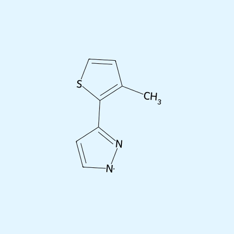 Cc1ccsc1C1=N[N]C=C1